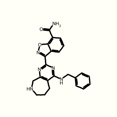 NC(=O)c1cccc2c(-c3nc4c(c(NCc5ccccc5)n3)CCCNC4)noc12